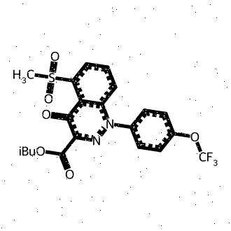 CC(C)COC(=O)c1nn(-c2ccc(OC(F)(F)F)cc2)c2cccc(S(C)(=O)=O)c2c1=O